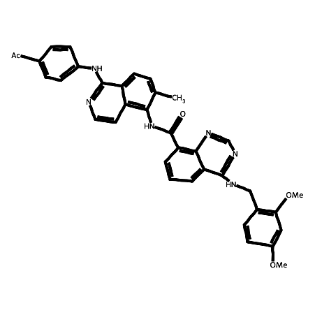 COc1ccc(CNc2ncnc3c(C(=O)Nc4c(C)ccc5c(Nc6ccc(C(C)=O)cc6)nccc45)cccc23)c(OC)c1